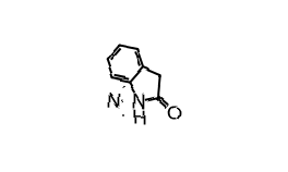 O=C1Cc2ccccc2N1.[N]